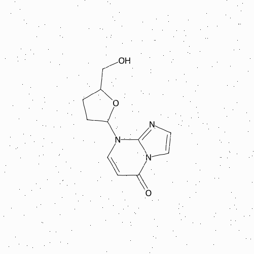 O=c1ccn(C2CCC(CO)O2)c2nccn12